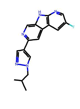 CC(C)Cn1cc(-c2cc3c(cn2)[nH]c2ncc(F)cc23)cn1